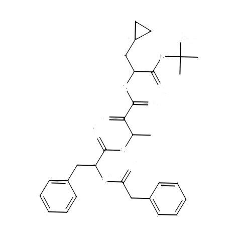 CC(NC(=O)C(Cc1ccccc1)NC(=O)Cc1ccccc1)C(=O)C(=O)NC(CC1CC1)C(=O)NC(C)(C)C(=O)O